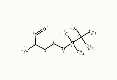 CC(C=O)CCO[Si](C)(C)C(C)(C)C